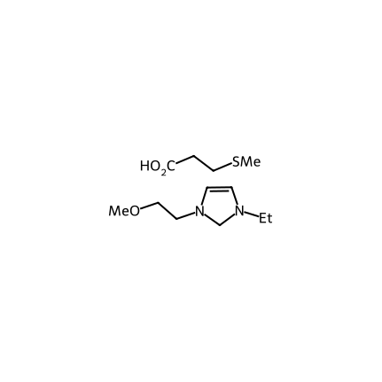 CCN1C=CN(CCOC)C1.CSCCC(=O)O